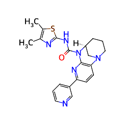 Cc1nc(NC(=O)N2c3nc(-c4cccnc4)ccc3N3CCC[C@H]2C3)sc1C